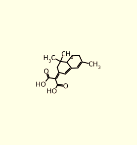 CC1=CC2=CC(=C(C(=O)O)C(=O)O)CC(C)(C)C2CC1